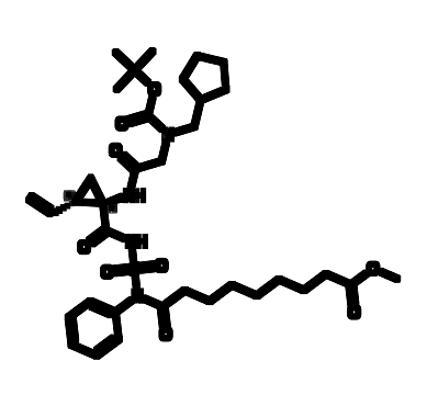 C=C[C@@H]1C[C@]1(NC(=O)CN(CC1CCCC1)C(=O)OC(C)(C)C)C(=O)NS(=O)(=O)N(C(=O)CCCCCCCC(=O)OC)c1ccccc1